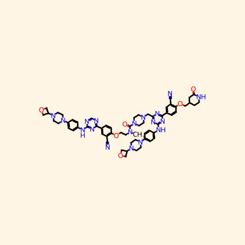 CN(CCOc1ccc(-c2ncnc(Nc3ccc(N4CCN(C5COC5)CC4)cc3)n2)cc1C#N)C(=O)N1CCN(Cc2nc(Nc3ccc(N4CCN(C5COC5)CC4)cc3)nc(-c3ccc(OCC4CCNC(=O)C4)c(C#N)c3)n2)CC1